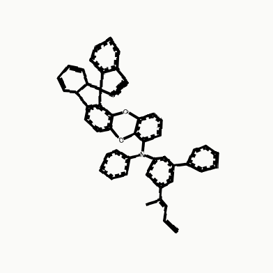 C=C/C=C(\C)c1cc(-c2ccccc2)cc(N(c2ccccc2)c2cccc3c2Oc2ccc4c(c2O3)C2(c3ccccc3-c3ccccc32)C2C=CC=CC42)c1